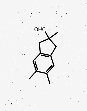 Cc1cc2c(cc1C)CC(C)(C=O)C2